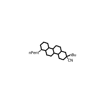 CCCCC[C@H]1CCCC2C3CCC4C[C@](C#N)(CCCC)CCC4C3CCC21